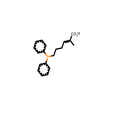 CC(=CCCCP(c1ccccc1)c1ccccc1)C(=O)O